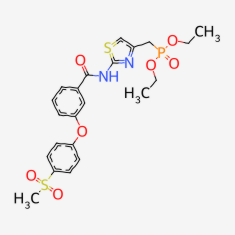 CCOP(=O)(Cc1csc(NC(=O)c2cccc(Oc3ccc(S(C)(=O)=O)cc3)c2)n1)OCC